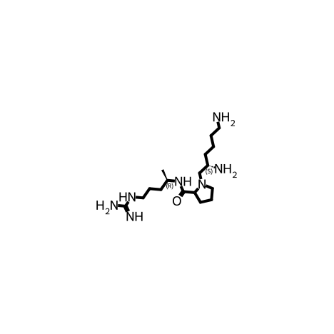 C[C@H](CCCNC(=N)N)NC(=O)C1CCCN1C[C@@H](N)CCCCN